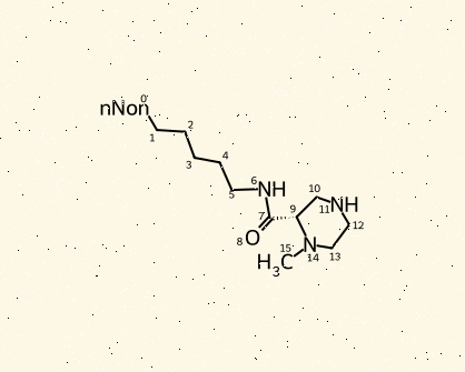 CCCCCCCCCCCCCCNC(=O)[C@@H]1CNCCN1C